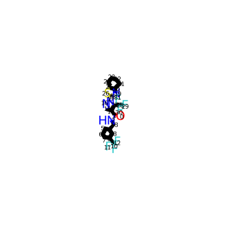 O=C(NCc1cccc(C(F)(F)F)c1)c1cnn(-c2nc3ccccc3s2)c1C(F)(F)F